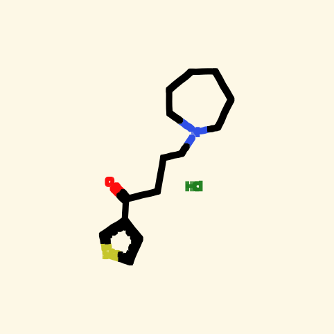 Cl.O=C(CCCN1CCCCCC1)c1ccsc1